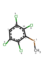 CSc1c(Cl)c(Cl)[c]c(Cl)c1Cl